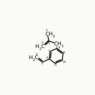 C=C(C)C.C=Cc1ccccc1